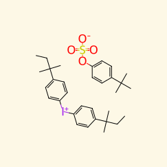 CC(C)(C)c1ccc(OS(=O)(=O)[O-])cc1.CCC(C)(C)c1ccc([I+]c2ccc(C(C)(C)CC)cc2)cc1